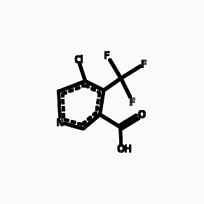 O=C(O)c1cncc(Cl)c1C(F)(F)F